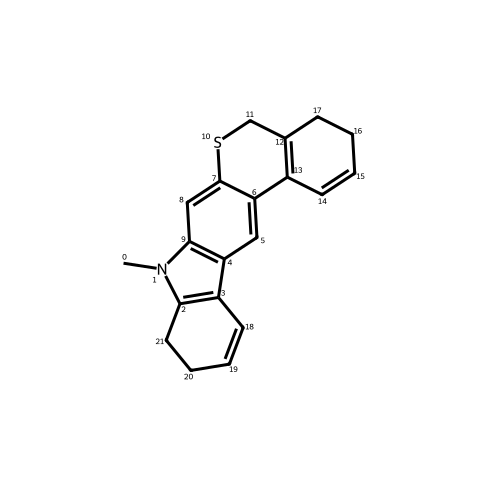 Cn1c2c(c3cc4c(cc31)SCC1=C4C=CCC1)C=CCC2